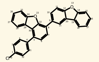 Clc1ccc(-c2ccc(-c3ccc4oc5ccccc5c4c3)c3oc4ccccc4c23)cc1